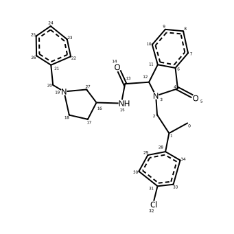 CC(CN1C(=O)c2ccccc2C1C(=O)NC1CCN(Cc2ccccc2)C1)c1ccc(Cl)cc1